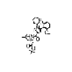 COc1cccc(OC)c1-c1cc(C(=O)N[C@H](CC(=O)OC(C)(C)C)CC(C)C)nn1C1CCCCC1